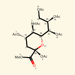 COC(=O)[C@]1(OC(C)=O)C[C@H](OC(C)=O)[C@@H](NC(C)=O)[C@H]([C@H](OC(C)=O)[C@@H](COC(C)=O)OC(C)=O)O1